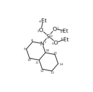 CCO[Si](OCC)(OCC)N1CCCC2CCCCC21